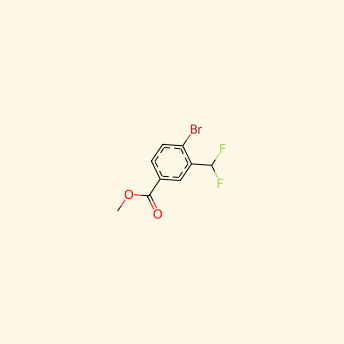 COC(=O)c1ccc(Br)c(C(F)F)c1